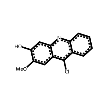 COc1cc2c(Cl)c3ccccc3nc2cc1O